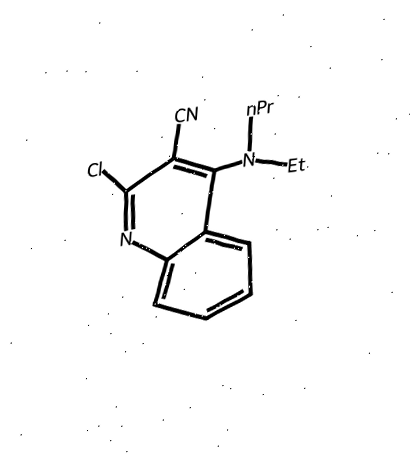 CCCN(CC)c1c(C#N)c(Cl)nc2ccccc12